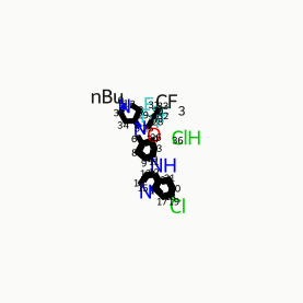 CCCCN1CCC(N(Cc2ccc(Nc3ccnc4cc(Cl)ccc34)cc2)C(=O)C(F)(F)C(F)(F)C(F)(F)F)CC1.Cl